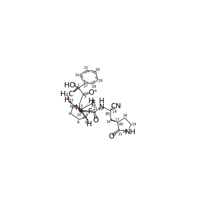 C[C@](O)(C(=O)N1[C@H]2CC[C@@H]([C@@H]1C(=O)N[C@@H](C#N)C[C@H]1CCNC1=O)C(F)(F)C2)c1ccccc1